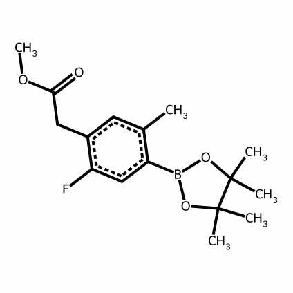 COC(=O)Cc1cc(C)c(B2OC(C)(C)C(C)(C)O2)cc1F